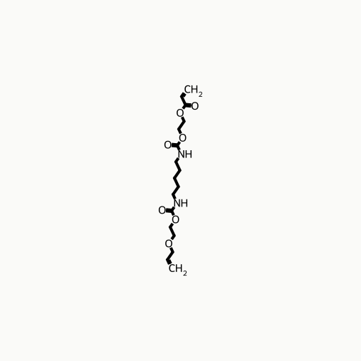 C=CCOCCOC(=O)NCCCCCNC(=O)OCCOC(=O)C=C